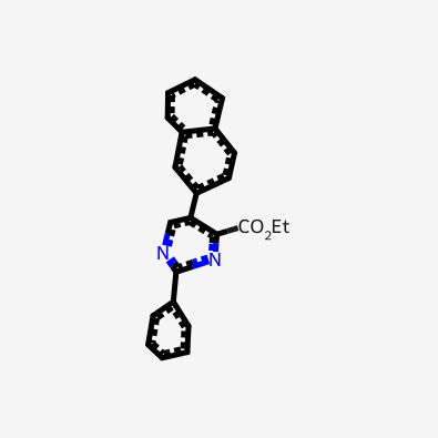 CCOC(=O)c1nc(-c2ccccc2)ncc1-c1ccc2ccccc2c1